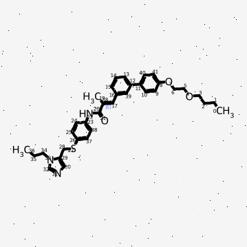 CCCCOCCOc1ccc(-c2cccc(/C=C(\C)C(=O)Nc3ccc(SCc4cncn4CCC)cc3)c2)cc1